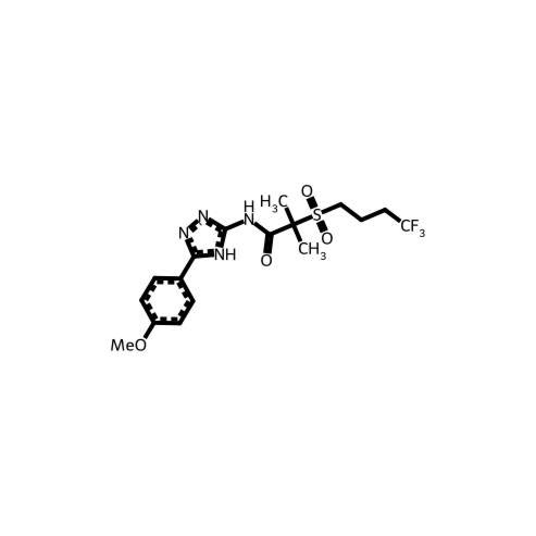 COc1ccc(-c2nnc(NC(=O)C(C)(C)S(=O)(=O)CCCC(F)(F)F)[nH]2)cc1